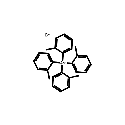 Cc1ccccc1[As+](c1ccccc1C)(c1ccccc1C)c1ccccc1C.[Br-]